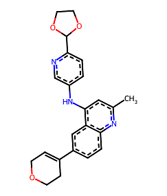 Cc1cc(Nc2ccc(C3OCCO3)nc2)c2cc(C3=CCOCC3)ccc2n1